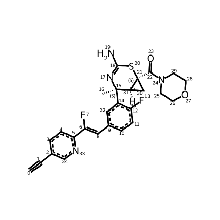 C#Cc1ccc(C(F)=Cc2ccc(F)c([C@@]3(C)N=C(N)S[C@@]4(C(=O)N5CCOCC5)C[C@H]43)c2)nc1